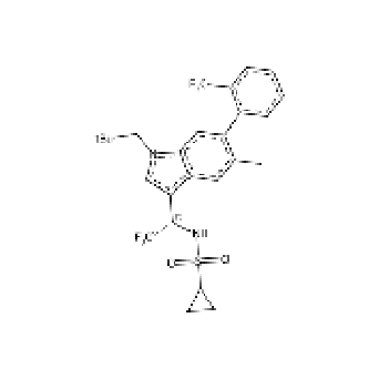 Cc1cc2c([C@H](NS(=O)(=O)C3CC3)C(F)(F)F)cn(CC(C)(C)C)c2cc1-c1ccccc1C(F)(F)F